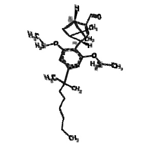 CCCCCCC(C)(C)c1cc(O[SiH2]C)c([C@H]2C=C(C=O)[C@H]3CC2C3(C)C)c(O[SiH2]C)c1